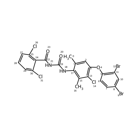 Cc1cc(Oc2ccc(Br)cc2Br)c(Cl)c(C)c1NC(=O)NC(=O)c1c(Cl)cccc1Cl